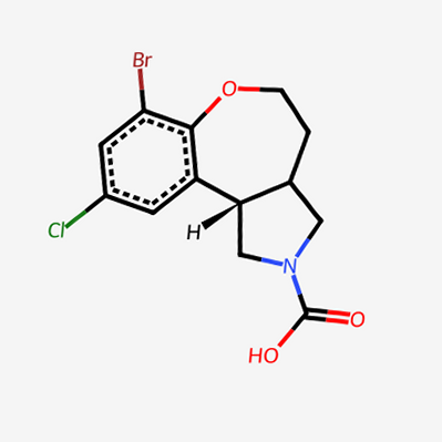 O=C(O)N1CC2CCOc3c(Br)cc(Cl)cc3[C@H]2C1